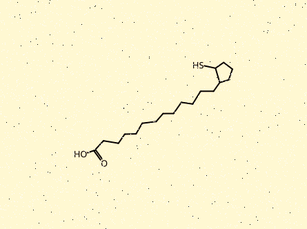 O=C(O)CCCCCCCCCCCCC1CCCC1S